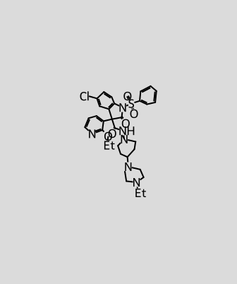 CCOc1ncccc1C1(C(=O)NN2CCC(N3CCN(CC)CC3)CC2)C(=O)N(S(=O)(=O)c2ccccc2)c2ccc(Cl)cc21